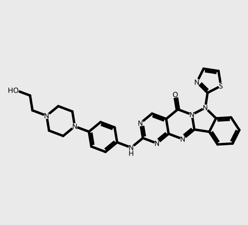 O=c1c2cnc(Nc3ccc(N4CCN(CCO)CC4)cc3)nc2nc2c3ccccc3n(-c3nccs3)n12